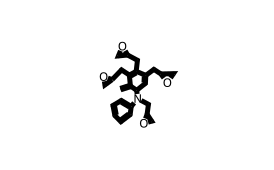 C=C1C(CC2CO2)=C(CC2CO2)C(CC2CO2)=CC1N(CC1CO1)c1ccccc1